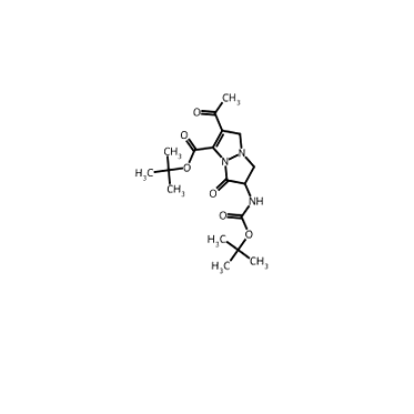 CC(=O)C1=C(C(=O)OC(C)(C)C)N2C(=O)C(NC(=O)OC(C)(C)C)CN2C1